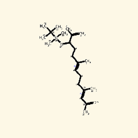 C=C(C)C(CC/C(C)=C/CC/C(C)=C/C(C)=O)O[Si](C)(C)C(C)(C)C